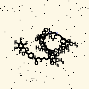 COc1cc2cc(c1Cl)N(C)C(O)C[C@H](OC(=O)[C@@H](C)N(C)C(=O)CCSCC(=O)N1CCC(C(=O)Oc3c(F)c(F)c(F)c(F)c3F)CC1)[C@]1(C)O[C@H]1[C@H](C)[C@@H]1C[C@@](O)(NC(=O)O1)[C@H](OC)/C=C/C=C(\C)C2